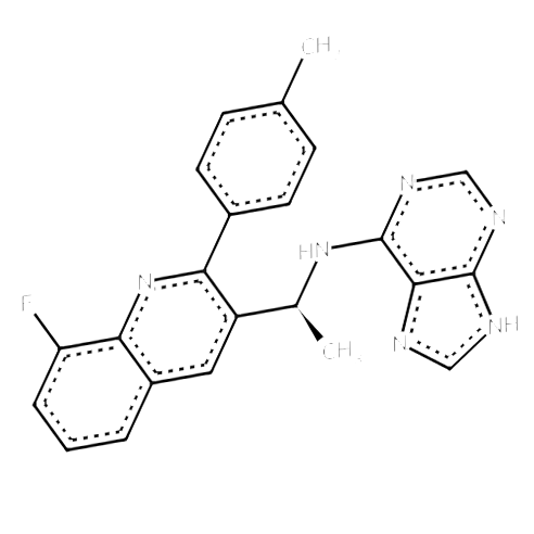 Cc1ccc(-c2nc3c(F)cccc3cc2[C@H](C)Nc2ncnc3[nH]cnc23)cc1